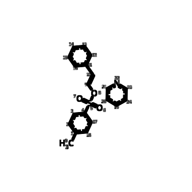 Cc1ccc(S(=O)(=O)OC=Cc2ccccc2)cc1.c1ccncc1